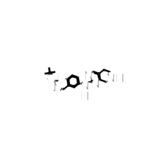 CN(Cc1cccc(Nc2ncc3c(n2)CNCC3)c1)C(=O)OC(C)(C)C